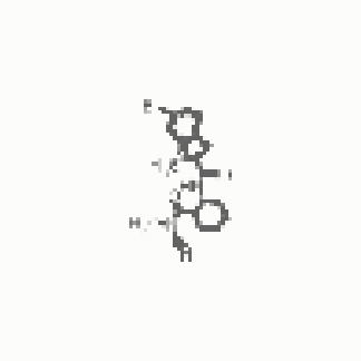 CN(C#N)C(=O)[C@@H]1CCCC[C@@H]1NC(=O)c1cc2ccc(Br)cc2n1C